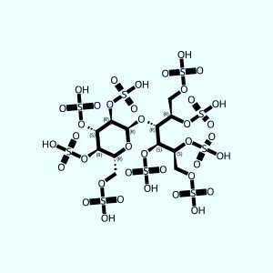 O=S(=O)(O)OC[C@H](OS(=O)(=O)O)[C@@H](OS(=O)(=O)O)[C@H](O[C@H]1O[C@H](COS(=O)(=O)O)[C@@H](OS(=O)(=O)O)[C@H](OS(=O)(=O)O)[C@H]1OS(=O)(=O)O)[C@@H](COS(=O)(=O)O)OS(=O)(=O)O